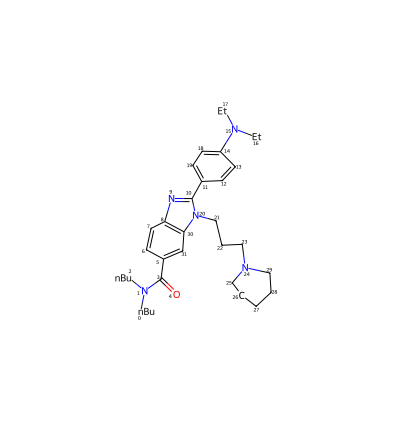 CCCCN(CCCC)C(=O)c1ccc2nc(-c3ccc(N(CC)CC)cc3)n(CCCN3CCCCC3)c2c1